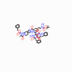 CC(C)C[C@@H](NC(=O)[C@@H](Cc1ccccc1)NC(=O)[C@@H](Cc1ccccc1)NC(=O)OC(C)(C)C)C(=O)N[C@H](CCCCNC(=O)OC(C)(C)C)C(=O)N1CC2(CCN(C(=O)[C@@H](C)NC(=O)OCc3ccccc3)CC2)C1